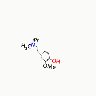 COc1cc(CCN(C)C(C)C)ccc1O